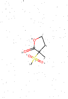 CC1(S(C)(=O)=O)CCOC1=O